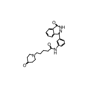 O=C1CCN(CCCCC(=O)Nc2cccc(-c3n[nH]c(=O)c4ccccc34)c2)CC1